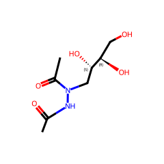 CC(=O)NN(C[C@H](O)[C@H](O)CO)C(C)=O